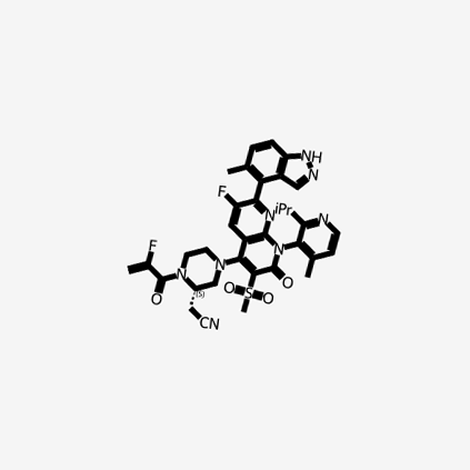 C=C(F)C(=O)N1CCN(c2c(S(C)(=O)=O)c(=O)n(-c3c(C)ccnc3C(C)C)c3nc(-c4c(C)ccc5[nH]ncc45)c(F)cc23)C[C@@H]1CC#N